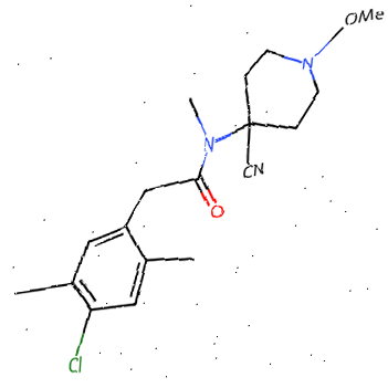 CON1CCC(C#N)(N(C)C(=O)Cc2cc(C)c(Cl)cc2C)CC1